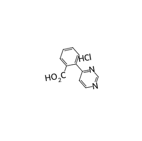 Cl.O=C(O)c1ccccc1-c1ccncn1